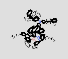 C=C1c2ccc(C)cc2-c2cc(C)cc3c2C1c1c2c(c4c5ccccc5c5cc(N(c6ccc(C(C)(C)c7ccccc7)cc6)c6ccc(C(C)(C)c7ccccc7)cc6)cc6c7ccccc7c1c4c65)-n1c4ccc(C)cc4c4cc(C)cc(c41)B32